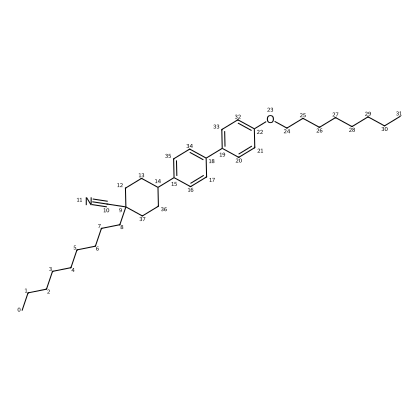 CCCCCCCCCC1(C#N)CCC(c2ccc(-c3ccc(OCCCCCCCC)cc3)cc2)CC1